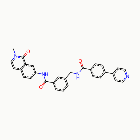 Cn1ccc2ccc(NC(=O)c3cccc(CNC(=O)c4ccc(-c5ccncc5)cc4)c3)cc2c1=O